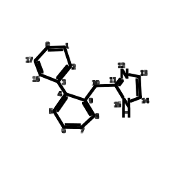 c1ccc(-c2ccccc2Cc2ncc[nH]2)cc1